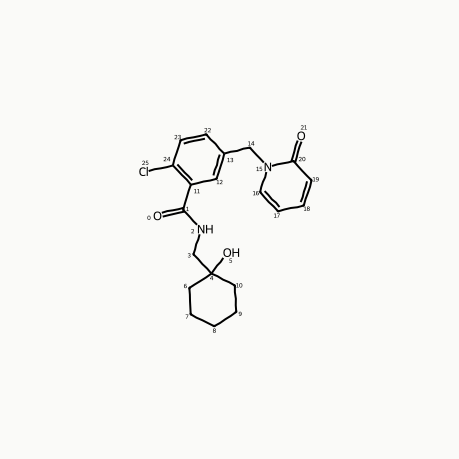 O=C(NCC1(O)CCCCC1)c1cc(Cn2ccccc2=O)ccc1Cl